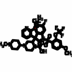 CCOc1ncccc1C1(C2CN(C3CCN(C)CC3)CCN2C(=O)O)C(=O)N(S(=O)(=O)c2ccc(OC)cc2OC(F)(F)F)c2cc(F)c(Cl)cc21